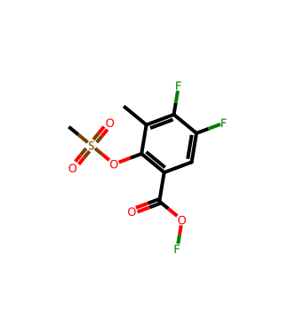 Cc1c(F)c(F)cc(C(=O)OF)c1OS(C)(=O)=O